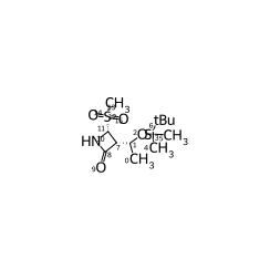 CC(O[Si](C)(C)C(C)(C)C)[C@@H]1C(=O)N[C@@H]1S(C)(=O)=O